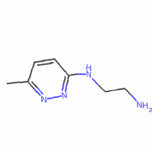 Cc1ccc(NCCN)nn1